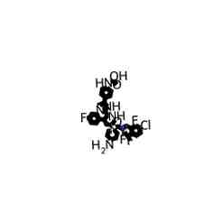 NC1CC[N+](C(=O)/C=C/c2c(C(F)(F)F)ccc(Cl)c2F)(C2CNC(c3ncc(-c4ccc(NC(=O)O)cc4)[nH]3)C(c3ccc(F)cc3)C2)CC1